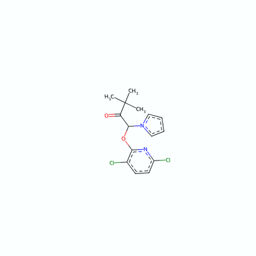 CC(C)(C)C(=O)C(Oc1nc(Cl)ccc1Cl)n1cccc1